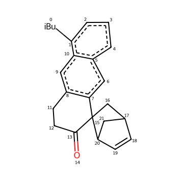 CCC(C)c1cccc2cc3c(cc12)CCC(=O)C31CC2C=CC1C2